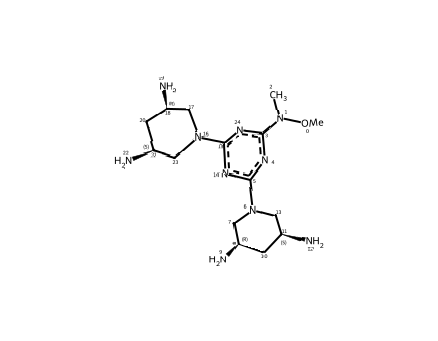 CON(C)c1nc(N2C[C@H](N)C[C@H](N)C2)nc(N2C[C@H](N)C[C@H](N)C2)n1